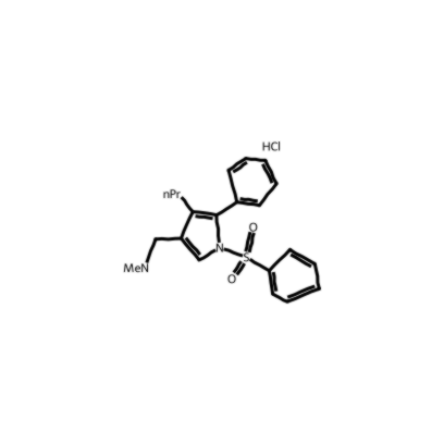 CCCc1c(CNC)cn(S(=O)(=O)c2ccccc2)c1-c1ccccc1.Cl